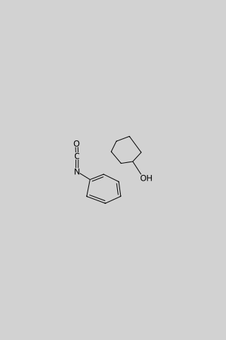 O=C=Nc1ccccc1.OC1CCCCC1